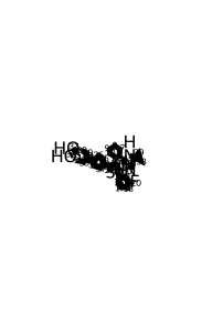 N#CC1(NC(=O)[C@@H]2CCCC[C@H]2c2nc(-c3cccc(F)c3)sc2-c2ccc(N3CCS(O)(O)CC3)cc2)CC1